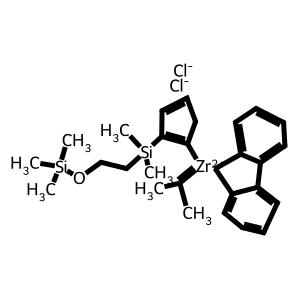 C[C](C)=[Zr+2]([C]1=C([Si](C)(C)CCO[Si](C)(C)C)C=CC1)[CH]1c2ccccc2-c2ccccc21.[Cl-].[Cl-]